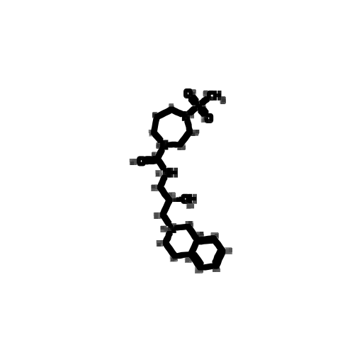 CS(=O)(=O)N1CCCN(C(=O)NC[C@H](O)CN2CCc3ccccc3C2)CC1